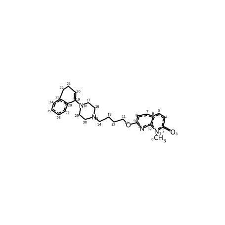 Cn1c(=O)ccc2ccc(OCCCCN3CCN(C4=CCCc5ccccc54)CC3)nc21